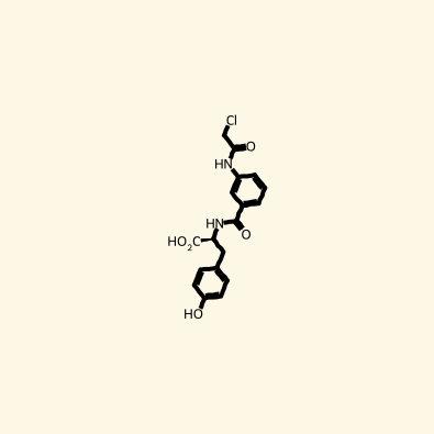 O=C(CCl)Nc1cccc(C(=O)N[C@@H](Cc2ccc(O)cc2)C(=O)O)c1